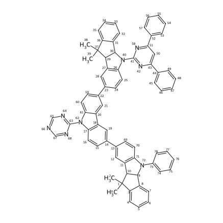 CC1(C)c2ccccc2C2C1c1cc(-c3ccc4c(c3)c3cc(-c5ccc6c(c5)C5C(c7ccccc7C5(C)C)N6c5nc(-c6ccccc6)cc(-c6ccccc6)n5)ccc3n4-c3ncncn3)ccc1N2c1ccccc1